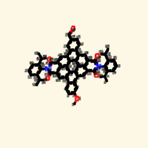 COc1ccc2c(c1)c1cc3c(=O)n(-c4c(C(C)C)cccc4C(C)C)c(=O)c4cc5c6ccc(C=O)cc6c6cc7c(=O)n(-c8c(C(C)C)cccc8C(C)C)c(=O)c8cc2c2c1c(c43)c5c6c2c87